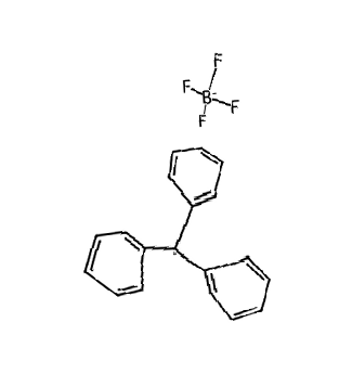 F[B-](F)(F)F.c1ccc([C](c2ccccc2)c2ccccc2)cc1